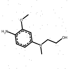 COc1cc(N(C)CCO)ccc1N